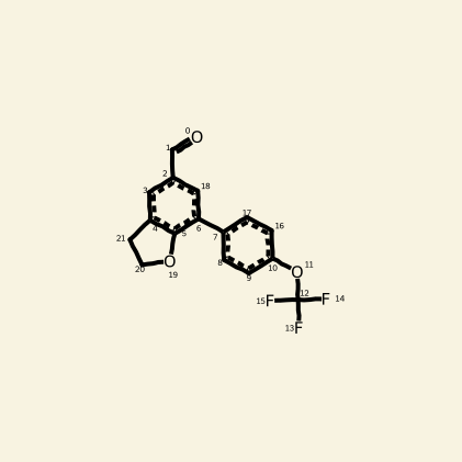 O=Cc1cc2c(c(-c3ccc(OC(F)(F)F)cc3)c1)OCC2